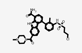 Cc1c(NS(=O)(=O)CCCCl)cccc1-c1ccc(C(N)=O)c2[nH]c3cc(C(=O)N4CCN(C)CC4)ccc3c12